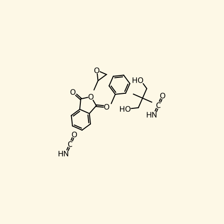 CC(C)(CO)CO.CC1CO1.Cc1ccccc1.N=C=O.N=C=O.O=C1OC(=O)c2ccccc21